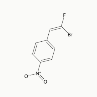 O=[N+]([O-])c1[c]cc(C=C(F)Br)cc1